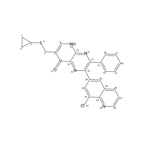 O=c1c(CSC2CC2)c[nH]c2nc(-c3ccccc3)c(-c3cc(Cl)c4ncccc4c3)nc12